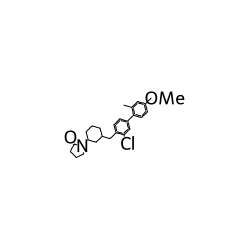 COc1ccc(-c2ccc(CC3CCCC(N4CCCC4=O)C3)c(Cl)c2)c(C)c1